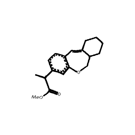 COC(=O)C(C)c1ccc2c(c1)OCC1CCCCC1=C2